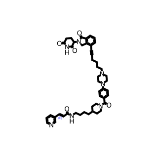 O=C(/C=C/c1cccnc1)NCCCCC1CCN(C(=O)c2ccc(N3CCN(CCCCC#Cc4cccc5c4CN(C4CCC(=O)NC4=O)C5=O)CC3)cc2)CC1